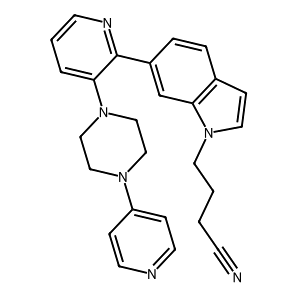 N#CCCCn1ccc2ccc(-c3ncccc3N3CCN(c4ccncc4)CC3)cc21